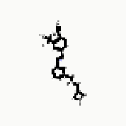 N#Cc1ccc(/C=C/c2cccc(CNCC3CNC3)c2)cc1C(F)(F)F